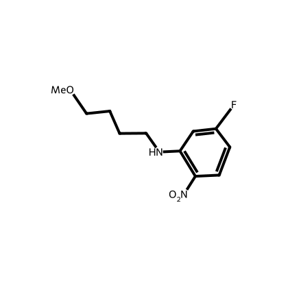 COCCCCNc1cc(F)ccc1[N+](=O)[O-]